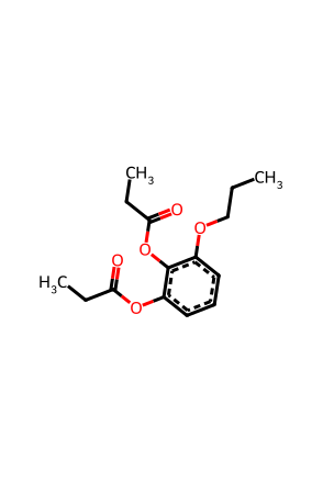 CCCOc1cccc(OC(=O)CC)c1OC(=O)CC